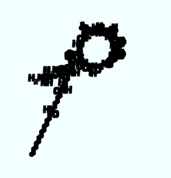 CCCCCCCCCCCCCCCC(=O)NCCCCCC(=O)NCCCC[C@H](NC(=O)C[C@H](Cc1ccccc1)NC(=O)[C@H]1CCCCNC(=O)CC[C@H](NC(=O)CC(C)C)C(=O)N[C@@H]([C@@H](C)O)C(=O)N[C@@H](Cc2cnc[nH]2)C(=O)N[C@@H](C(c2ccccc2)c2ccccc2)C(=O)N2CCC[C@H]2C(=O)N[C@@H](C)C(=O)N[C@@H]([C@@H](C)CC)C(=O)N1)C(=O)N[C@@H](CCCNC(=N)N)C(N)=O